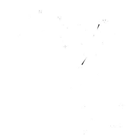 CCOC(=O)c1c(O)c2ccc(O[C@@H]3OC(C)(C)[C@H](OC)[C@@H](OC(=O)Nc4cc(C)on4)[C@H]3O)c(C)c2oc1=O